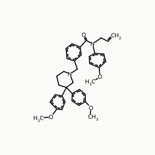 C=CCN(C(=O)c1cccc(CN2CCCC(c3ccc(OC)cc3)(c3ccc(OC)cc3)C2)c1)c1ccc(OC)cc1